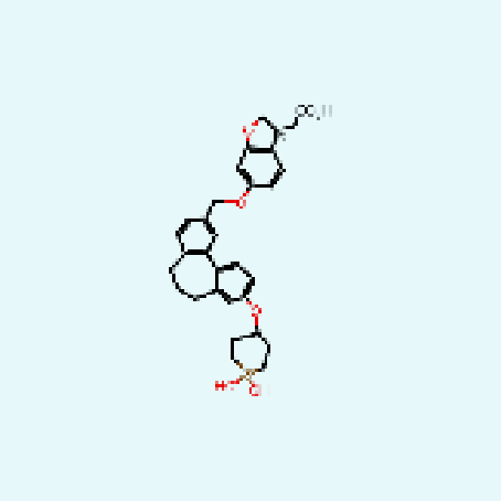 O=C(O)C[C@@H]1COc2cc(OCc3ccc4c(c3)-c3ccc(OC5CCS(O)(O)CC5)cc3CCC4)ccc21